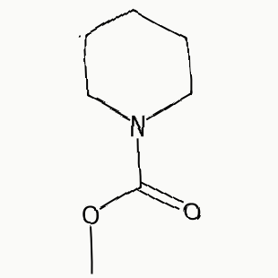 COC(=O)N1C[CH]CCC1